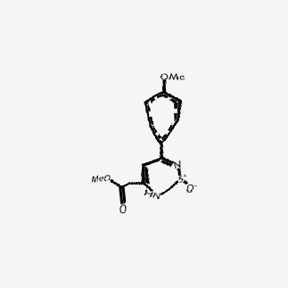 COC(=O)C1=CC(c2ccc(OC)cc2)=N[S+]([O-])N1